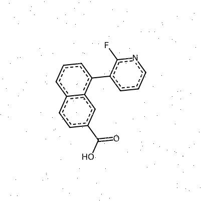 O=C(O)c1ccc2cccc(-c3cccnc3F)c2c1